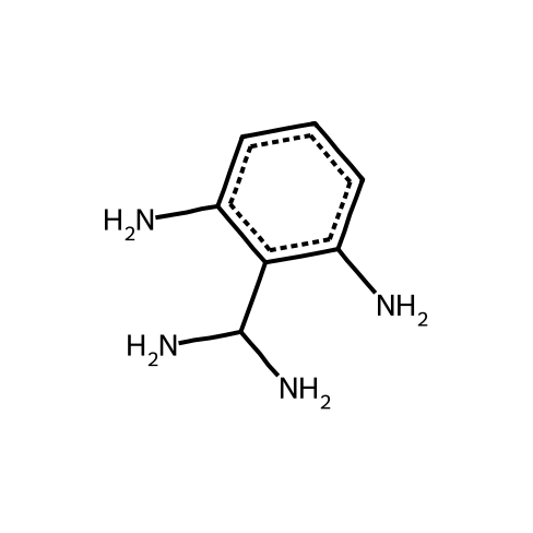 Nc1cccc(N)c1C(N)N